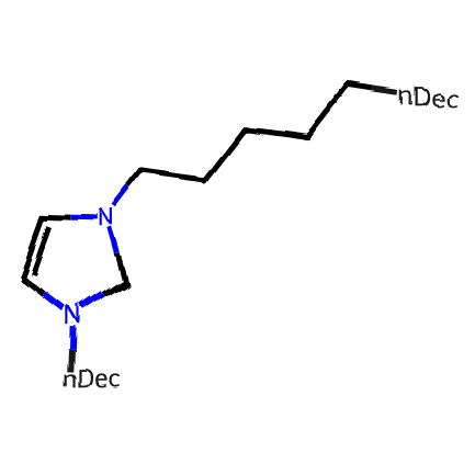 CCCCCCCCCCCCCCCN1C=CN(CCCCCCCCCC)C1